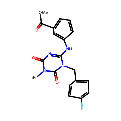 COC(=O)c1cccc(Nc2nc(=O)n(C(C)C)c(=O)n2Cc2ccc(F)cc2)c1